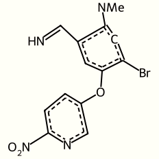 CNc1cc(Br)c(Oc2ccc([N+](=O)[O-])nc2)cc1C=N